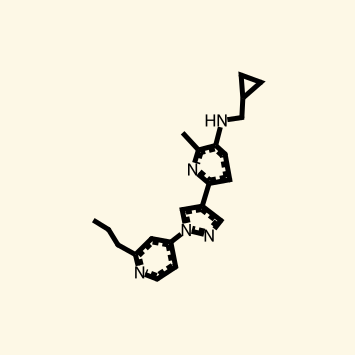 CCCc1cc(-n2cc(-c3ccc(NCC4CC4)c(C)n3)cn2)ccn1